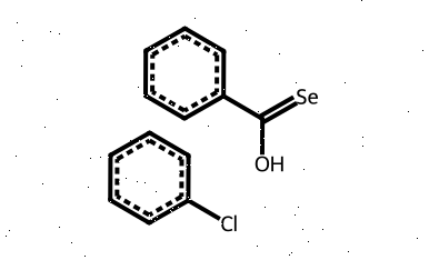 Clc1ccccc1.OC(=[Se])c1ccccc1